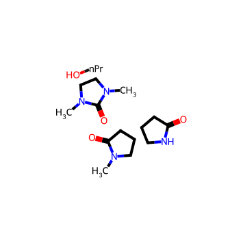 CCCO.CN1CCCC1=O.CN1CCN(C)C1=O.O=C1CCCN1